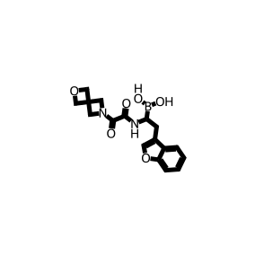 O=C(NC(Cc1coc2ccccc12)B(O)O)C(=O)N1CC2(COC2)C1